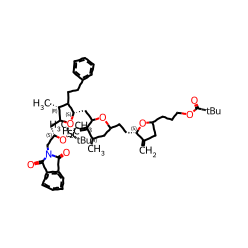 C=C1C(C[C@@H]2OC(C[C@@H](CN3C(=O)c4ccccc4C3=O)O[Si](C)(C)C(C)(C)C)[C@H](C)C2CCc2ccccc2)OC(CC[C@@H]2OC(CCCOC(=O)C(C)(C)C)CC2=C)C[C@H]1C